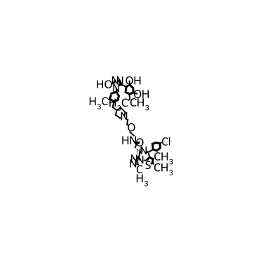 Cc1cc(-n2c(O)nnc2-c2cc(C(C)C)c(O)cc2O)ccc1CC1CCN(CCOCCNC(=O)C[C@@H]2N=C(c3ccc(Cl)cc3)c3c(sc(C)c3C)-n3c(C)nnc32)CC1